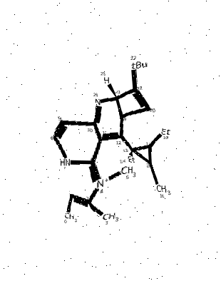 CC=C(C)/[N+](C)=c1\[nH]ccc2c1=C([C@@]1(CC)C(C)C1CC)C1C=C(C(C)(C)C)[C@H]1N=2